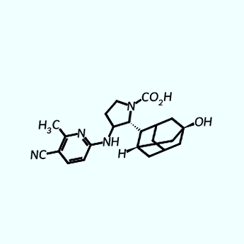 Cc1nc(NC2CCN(C(=O)O)[C@@H]2C2C3CC4C[C@H]2C[C@@](O)(C4)C3)ccc1C#N